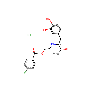 COC(=O)[C@H](Cc1ccc(O)c(O)c1)NCCOC(=O)c1ccc(F)cc1.Cl